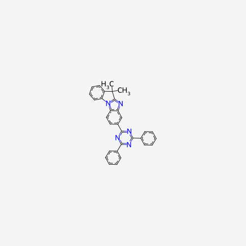 CC1(C)c2ccccc2-n2c1nc1cc(-c3nc(-c4ccccc4)nc(-c4ccccc4)n3)ccc12